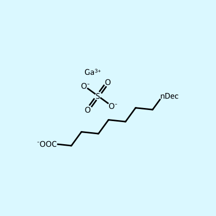 CCCCCCCCCCCCCCCCCC(=O)[O-].O=S(=O)([O-])[O-].[Ga+3]